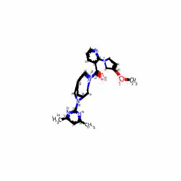 COC1CCN(c2ncccc2C(=O)N2CC3CC(C2)N(c2nc(C)cc(C)n2)C3)C1